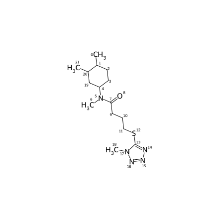 CC1CCC(N(C)C(=O)CCCSc2nnnn2C)CC1C